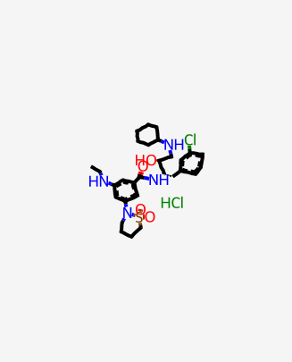 CCNc1cc(C(=O)N[C@@H](Cc2cccc(Cl)c2)[C@H](O)CNC2CCCCC2)cc(N2CCCCS2(=O)=O)c1.Cl